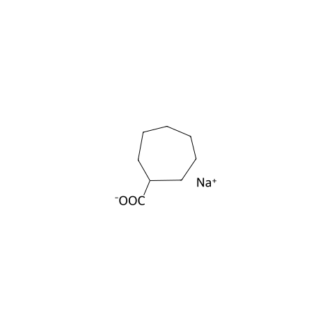 O=C([O-])C1CCCCCC1.[Na+]